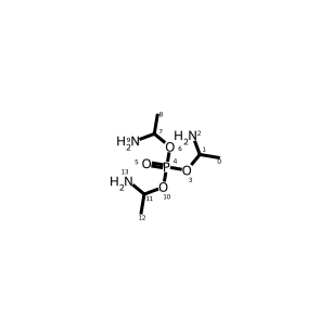 CC(N)OP(=O)(OC(C)N)OC(C)N